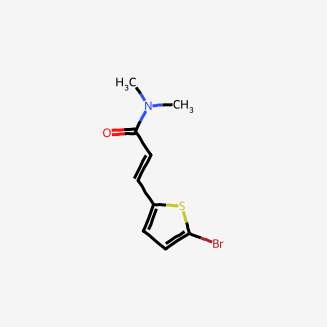 CN(C)C(=O)C=Cc1ccc(Br)s1